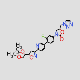 CC1(C)OCC(C2CC(c3ccc(-c4ccc(N5CC(Cn6ccnn6)OC5=O)cc4F)cn3)=NO2)O1